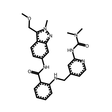 COCc1c2ccc(NC(=O)c3ccccc3NCc3ccnc(NC(=O)N(C)C)c3)cc2nn1C